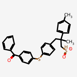 Cc1ccc(C(C)(Cc2ccc(Sc3ccc(C(=O)c4ccccc4)cc3)cc2)C[SH](=O)=O)cc1